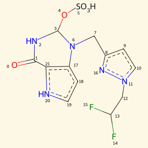 O=C1NC(OS(=O)(=O)O)N(Cc2ccn(CC(F)F)n2)c2cc[nH]c21